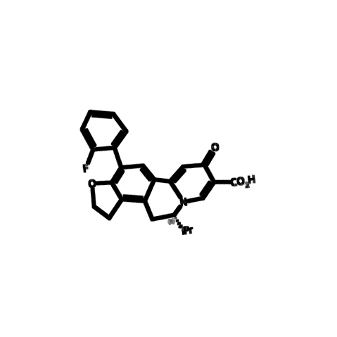 CC(C)[C@@H]1Cc2c(cc(-c3ccccc3F)c3c2CCO3)-c2cc(=O)c(C(=O)O)cn21